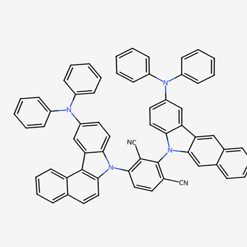 N#Cc1ccc(-n2c3ccc(N(c4ccccc4)c4ccccc4)cc3c3c4ccccc4ccc32)c(C#N)c1-n1c2ccc(N(c3ccccc3)c3ccccc3)cc2c2cc3ccccc3cc21